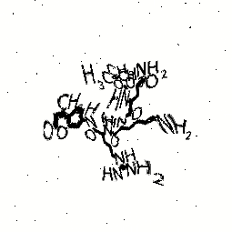 Cc1cc(=O)oc2cc(NC(=O)C(CCCNC(=N)N)NC(=O)C(CCCCN)NC(=O)C(CCC(N)=O)NC(=O)OC(C)(C)C)ccc12